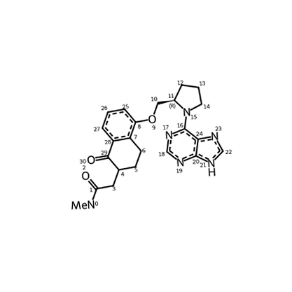 CNC(=O)CC1CCc2c(OC[C@H]3CCCN3c3ncnc4[nH]cnc34)cccc2C1=O